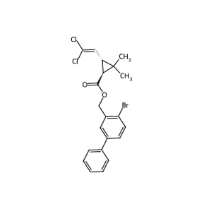 CC1(C)[C@@H](C=C(Cl)Cl)[C@@H]1C(=O)OCc1cc(-c2ccccc2)ccc1Br